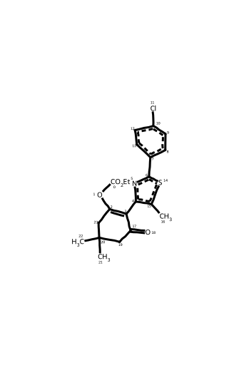 CCOC(=O)OC1=C(c2nc(-c3ccc(Cl)cc3)sc2C)C(=O)CC(C)(C)C1